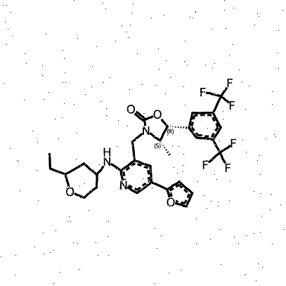 CCC1CC(Nc2ncc(-c3ccco3)cc2CN2C(=O)O[C@H](c3cc(C(F)(F)F)cc(C(F)(F)F)c3)[C@@H]2C)CCO1